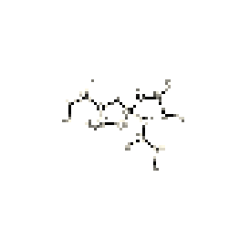 CCC(C)OCC(O[SiH3])(OC(C)CC)OC(C)CC